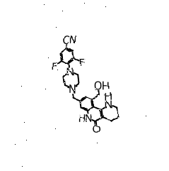 N#Cc1cc(F)c(N2CCN(Cc3cc(CO)c4c5c(c(=O)[nH]c4c3)CCCN5)CC2)c(F)c1